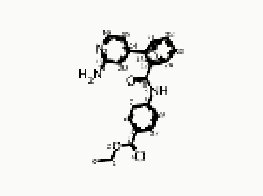 CCOC(=O)c1ccc(NC(=O)c2c(-c3ccnc(N)c3)c3ccc2o3)cc1